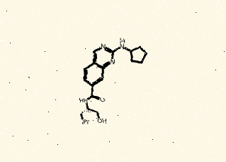 CC(C)C[C@@H](CO)NC(=O)c1ccc2cnc(NC3CCCC3)nc2c1